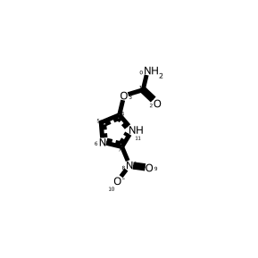 NC(=O)Oc1cnc([N+](=O)[O-])[nH]1